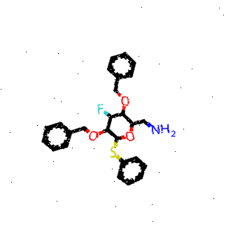 NCC1OC(Sc2ccccc2)C(OCc2ccccc2)C(F)C1OCc1ccccc1